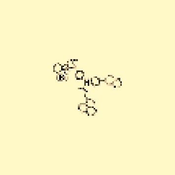 C=C/C(=C\C=C(/C)N(c1ccc(-c2ccc3ccccc3c2)cc1)c1ccc(-c2cccc3c2oc2c(C(C)(C)C)cccc23)cc1)c1cccc2ccccc12